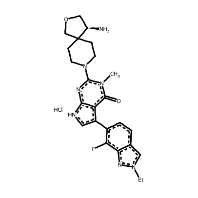 CCn1cc2ccc(-c3c[nH]c4nc(N5CCC6(CC5)COC[C@H]6N)n(C)c(=O)c34)c(F)c2n1.Cl